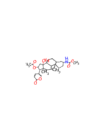 COC(=O)NC1CCC2(C)C(CCC3C2CCC2(C)C(c4ccc(=O)oc4)C(OC(C)=O)CC32O)C1